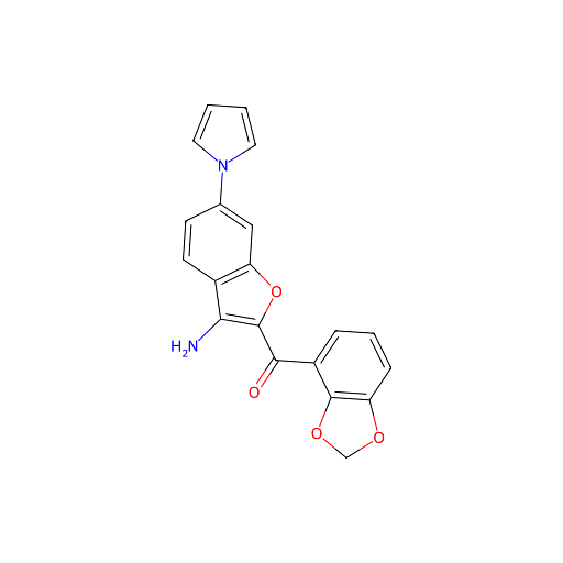 Nc1c(C(=O)c2cccc3c2OCO3)oc2cc(-n3cccc3)ccc12